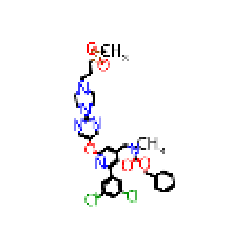 CN(Cc1cc(Oc2cnc(N3CCN(CCCS(C)(=O)=O)CC3)nc2)nc(-c2cc(Cl)cc(Cl)c2)c1)C(=O)OCc1ccccc1